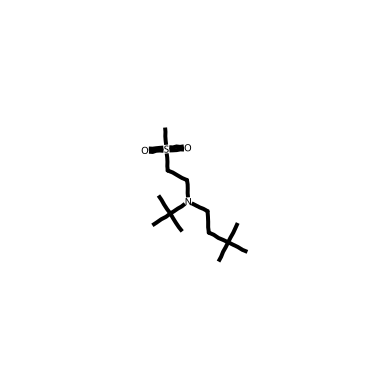 CC(C)(C)CCN(CCS(C)(=O)=O)C(C)(C)C